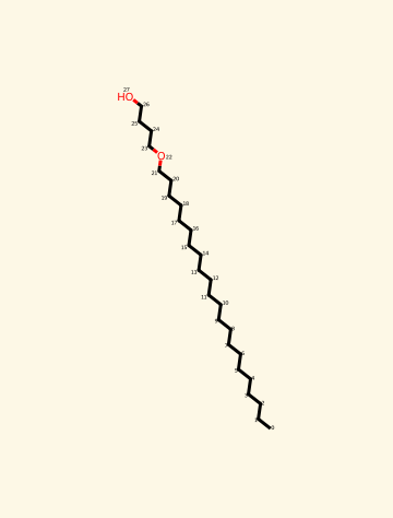 CCCCCCCCCCCCCCCCCCCCCCOCCCCO